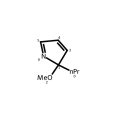 CCCC1(OC)C=CC=N1